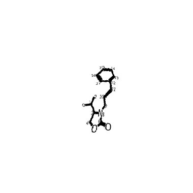 CC(C)C1COC(=O)N1CC=Cc1ccccc1